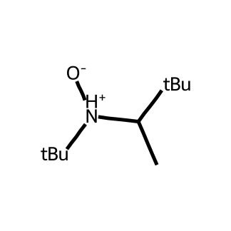 CC([NH+]([O-])C(C)(C)C)C(C)(C)C